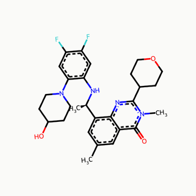 Cc1cc([C@@H](C)Nc2cc(F)c(F)cc2N2CCC(O)CC2)c2nc(C3CCOCC3)n(C)c(=O)c2c1